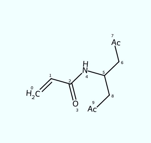 C=CC(=O)NC(CC(C)=O)CC(C)=O